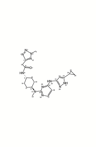 Cn1nnc(CC(=O)N[C@H]2CC[C@H](N(C)c3nccc(Nc4cc(C5CC5)[nH]n4)n3)CC2)n1